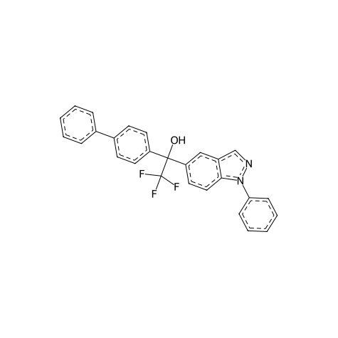 OC(c1ccc(-c2ccccc2)cc1)(c1ccc2c(cnn2-c2ccccc2)c1)C(F)(F)F